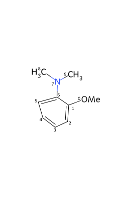 COc1ccccc1N(C)C